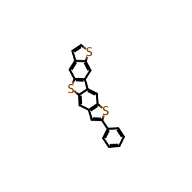 c1ccc(-c2cc3cc4sc5cc6ccsc6cc5c4cc3s2)cc1